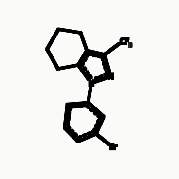 FC(F)(F)c1nn(-c2cccc(Br)c2)c2c1CCCC2